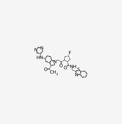 CC(=O)c1cn(CC(=O)C2C[C@H](F)C[C@H]2C(=O)NCc2nc3ccccc3s2)c2ccc(Nc3cncnc3)cc12